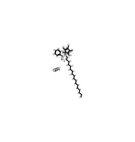 CCCCCCCCCCCCCCCCC[CH2][Ti+3]([SiH2]c1ccccc1)[C]1(C)C(C)=C(C)C(C)=C1C.[Cl-].[Cl-].[Cl-]